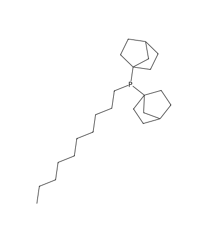 CCCCCCCCCCP(C12CCC(CC1)C2)C12CCC(CC1)C2